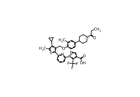 CCC(=O)N1CCC(c2ccc(OCc3c(-c4cccc(-n5ncc(C(=O)O)c5C(F)(F)F)n4)sc(C)c3C3CC3)c(C)c2)CC1